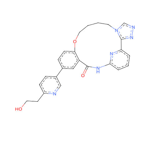 O=C1Nc2cccc(n2)-c2nncn2CCCCOc2ccc(-c3ccc(CCO)nc3)cc21